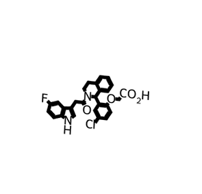 O=C(O)COc1ccc(Cl)cc1C1c2ccccc2CCN1C(=O)Cc1c[nH]c2ccc(F)cc12